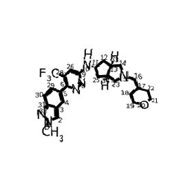 Cn1cc2cc(-c3nnc(N[C@@H]4C[C@@H]5CN(CC6CCOCC6)C[C@@H]5C4)cc3C(F)(F)F)ccc2n1